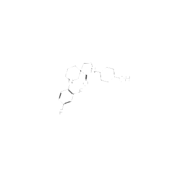 O=C1N(C2CCC(O)CC2)CCC12CCCN(c1ccc(F)cc1F)C2